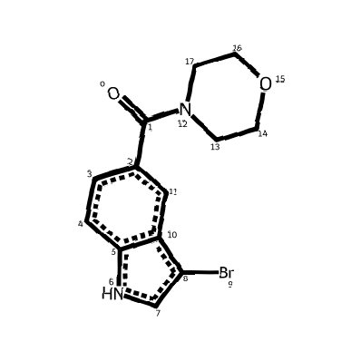 O=C(c1ccc2[nH]cc(Br)c2c1)N1CCOCC1